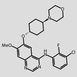 COc1cc2ncnc(Nc3cccc(Cl)c3F)c2cc1O[C@H]1CC[C@H](N2CCOCC2)CC1